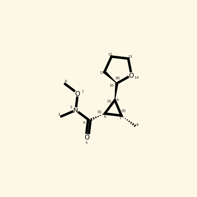 CON(C)C(=O)[C@H]1[C@@H](C)[C@@H]1[C@H]1CCCO1